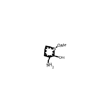 COn1ccc(N)c1O